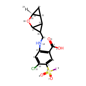 O=C(O)c1cc(S(=O)(=O)I)c(Cl)cc1NCC1C2O[C@H]3CC3C12